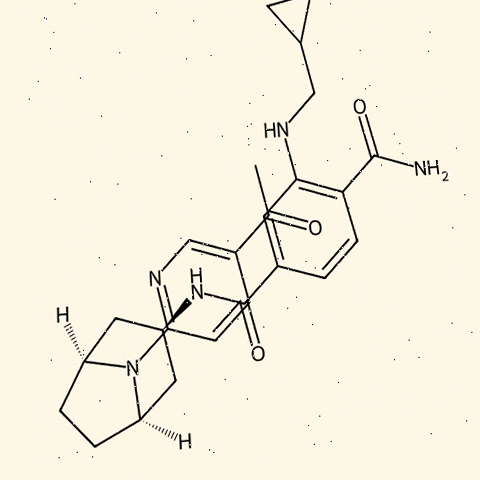 CC(=O)c1ccc(N2[C@@H]3CC[C@H]2C[C@@H](NC(=O)c2ccc(C(N)=O)c(NCC4CC4)c2)C3)nc1